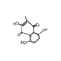 CC1=C(O)C(=O)c2c(O)ccc(O)c2C1=O